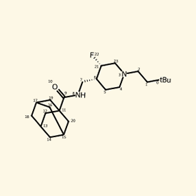 CC(C)(C)CCN1CC[C@H](CNC(=O)C23CC4CC(CC(C4)C2)C3)[C@H](F)C1